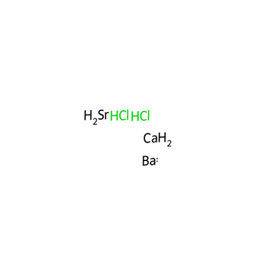 Cl.Cl.[Ba].[CaH2].[SrH2]